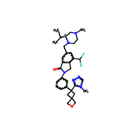 CC(C)[C@H]1CN(C)CCN1Cc1cc2c(c(C(F)F)c1)CN(c1cccc(C3(c4nncn4C)CC4(COC4)C3)c1)C2=O